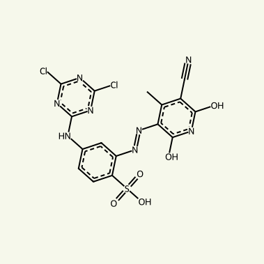 Cc1c(C#N)c(O)nc(O)c1N=Nc1cc(Nc2nc(Cl)nc(Cl)n2)ccc1S(=O)(=O)O